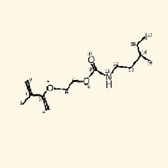 C=C(C)C(=C)OCCOC(=O)NCCC(C)CI